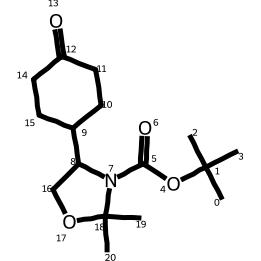 CC(C)(C)OC(=O)N1C(C2CCC(=O)CC2)COC1(C)C